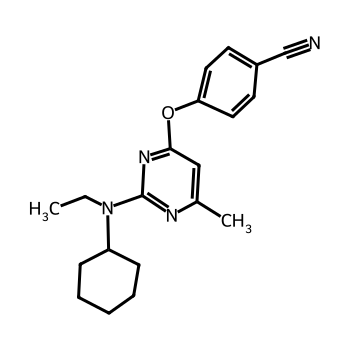 CCN(c1nc(C)cc(Oc2ccc(C#N)cc2)n1)C1CCCCC1